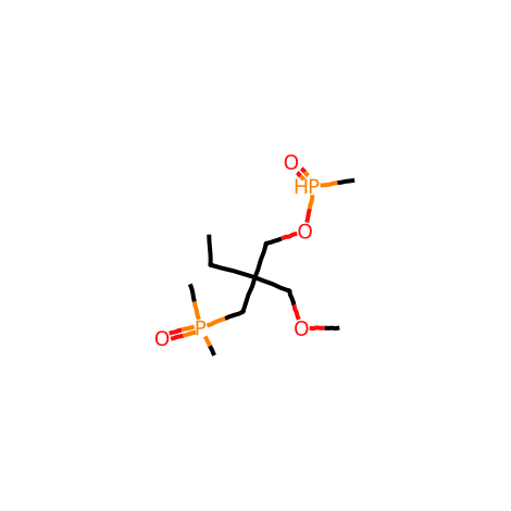 CCC(COC)(CO[PH](C)=O)CP(C)(C)=O